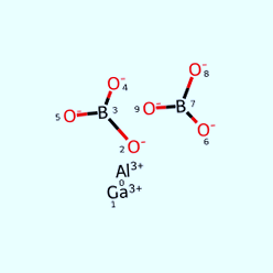 [Al+3].[Ga+3].[O-]B([O-])[O-].[O-]B([O-])[O-]